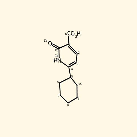 O=C(O)c1ccc(C2CCCCC2)[nH]c1=O